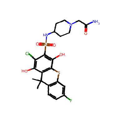 CC1(C)c2ccc(F)cc2Sc2c(O)c(S(=O)(=O)NC3CCN(CC(N)=O)CC3)c(Cl)c(O)c21